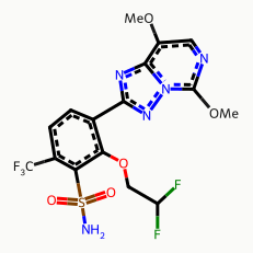 COc1cnc(OC)n2nc(-c3ccc(C(F)(F)F)c(S(N)(=O)=O)c3OCC(F)F)nc12